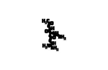 CC(=O)CNC(=O)[C@H](CCCNC(N)N)NC(=O)CN